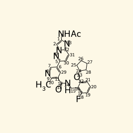 CC(=O)Nc1cn2nc(-c3cnc(C)c(C(=O)NCc4c(F)cccc4OC4CCCC4)c3)ccc2n1